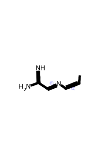 C/C=C\N=C\C(=N)N